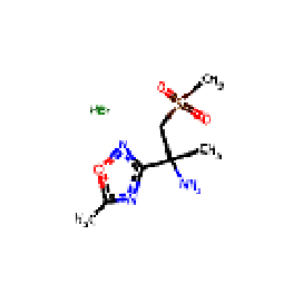 Br.Cc1nc(C(C)(N)CS(C)(=O)=O)no1